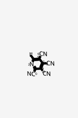 N#Cc1nc(I)c(C#N)c(C#N)c1C#N